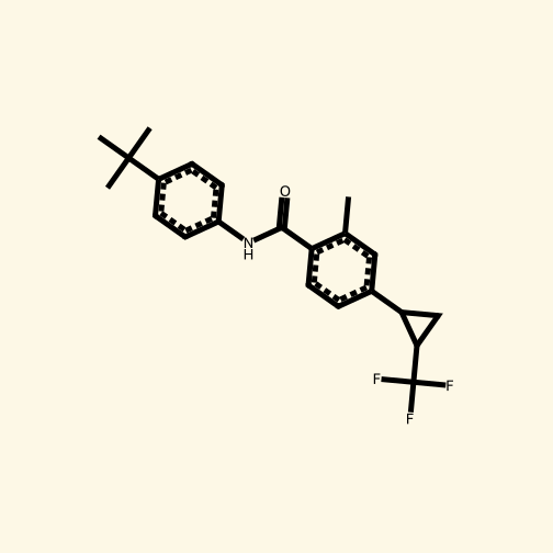 Cc1cc(C2CC2C(F)(F)F)ccc1C(=O)Nc1ccc(C(C)(C)C)cc1